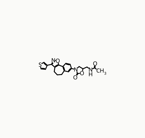 CC(=O)NCC1CN(c2ccc3c(c2)CCCc2c(-c4ccsc4)noc2-3)C(=O)O1